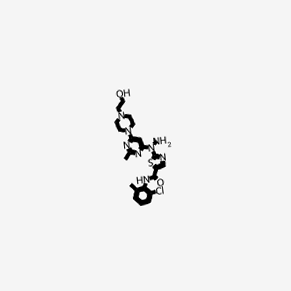 Cc1nc(N2CCN(CCO)CC2)cc(N(N)c2ncc(C(=O)Nc3c(C)cccc3Cl)s2)n1